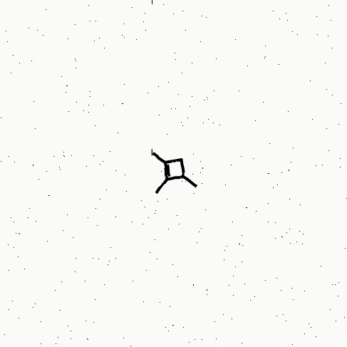 CC1=C(I)CC1C